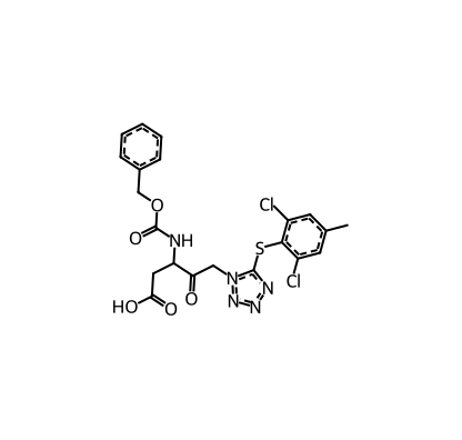 Cc1cc(Cl)c(Sc2nnnn2CC(=O)C(CC(=O)O)NC(=O)OCc2ccccc2)c(Cl)c1